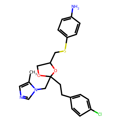 Cc1cncn1CC1(CCc2ccc(Cl)cc2)OCC(CSc2ccc(N)cc2)O1